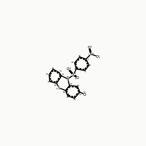 O=[N+]([O-])c1ccc(S(=O)(=O)N2c3ccccc3Sc3ccc(Cl)cc32)cc1